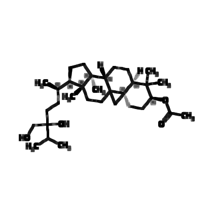 CC(=O)O[C@H]1CC[C@]23CC24CC[C@]2(C)[C@@H]([C@H](C)CCC(O)(CO)C(C)C)CC[C@@]2(C)[C@@H]4CC[C@H]3C1(C)C